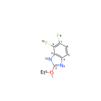 CCOC1=Nc2ccc(F)c(F)c2[N]1